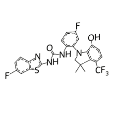 CC1(C)CN(c2cc(F)ccc2NC(=O)Nc2nc3ccc(F)cc3s2)c2c(O)ccc(C(F)(F)F)c21